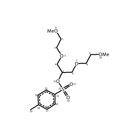 COCCOCC(COCCOC)OS(=O)(=O)c1ccc(C)cc1